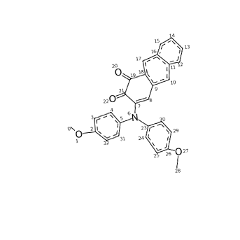 COc1ccc(N(C2=Cc3cc4ccccc4cc3C(=O)C2=O)c2ccc(OC)cc2)cc1